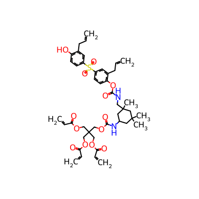 C=CCc1cc(S(=O)(=O)c2ccc(OC(=O)NCC3(C)CC(NC(=O)OCC(COC(=O)C=C)(COC(=O)C=C)COC(=O)C=C)CC(C)(C)C3)c(CC=C)c2)ccc1O